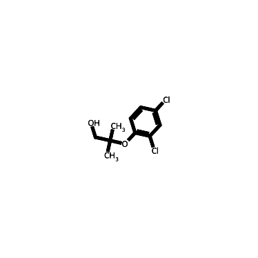 CC(C)(CO)Oc1ccc(Cl)cc1Cl